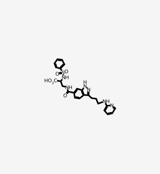 O=C(NCC(NS(=O)(=O)c1ccccc1)C(=O)O)c1ccc2c(CCCNc3ccccn3)n[nH]c2c1